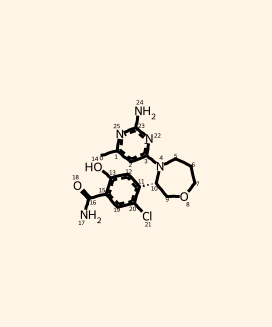 Cc1cc(N2CCCOC[C@@H]2c2cc(O)c(C(N)=O)cc2Cl)nc(N)n1